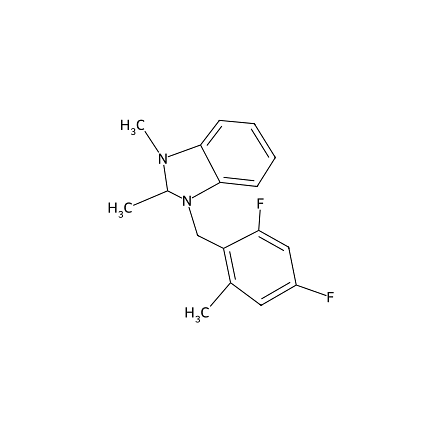 Cc1cc(F)cc(F)c1CN1c2ccccc2N(C)C1C